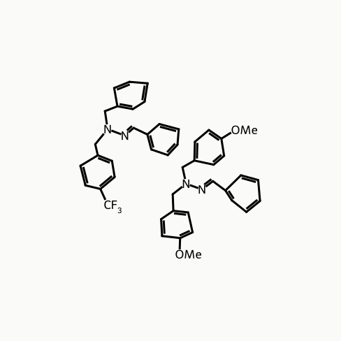 COc1ccc(CN(Cc2ccc(OC)cc2)N=Cc2ccccc2)cc1.FC(F)(F)c1ccc(CN(Cc2ccccc2)N=Cc2ccccc2)cc1